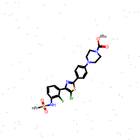 CCCS(=O)(=O)Nc1cccc(-c2nc(-c3ccc(N4CCN(C(=O)OC(C)(C)C)CC4)cc3)sc2Br)c1F